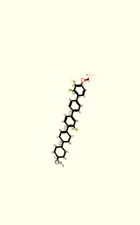 BCOc1ccc(-c2ccc(-c3ccc(C4=CCC(C5CCC(C)CC5)CC4)c(F)c3)cc2)c(F)c1F